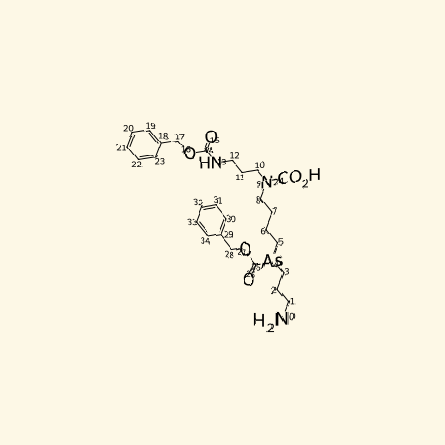 NCCC[As](CCCCN(CCCNC(=O)OCc1ccccc1)C(=O)O)C(=O)OCc1ccccc1